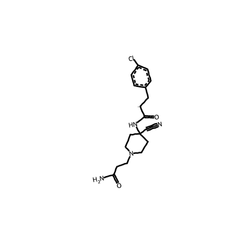 N#CC1(NC(=O)[CH]Cc2ccc(Cl)cc2)CCN(CCC(N)=O)CC1